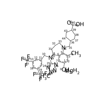 Cc1cc(C)c2c(c1)[C@@H](N(Cc1cc(C(F)(F)F)cc(C(F)(F)F)c1)c1nnn(C)n1)CCCN2CC1CCC(C(=O)O)CC1.[MgH2]